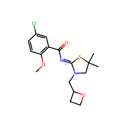 COc1ccc(Cl)cc1C(=O)/N=C1\SC(C)(C)CN1CC1CCO1